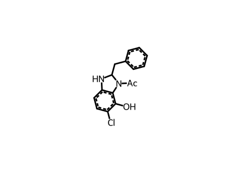 CC(=O)N1c2c(ccc(Cl)c2O)NC1Cc1ccccc1